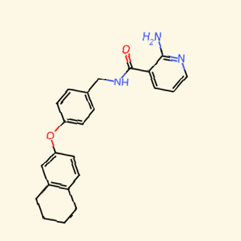 Nc1ncccc1C(=O)NCc1ccc(Oc2ccc3c(c2)CCCC3)cc1